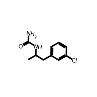 CC(Cc1cccc(Cl)c1)NC(N)=O